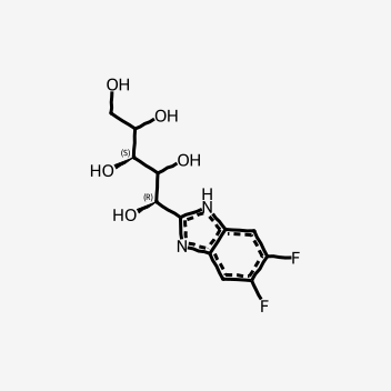 OCC(O)[C@H](O)C(O)[C@H](O)c1nc2cc(F)c(F)cc2[nH]1